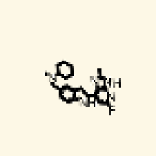 Cc1nc2c(C3Cc4cc(CN(C)C5CCCCC5)ccc4N3)cc(F)nc2[nH]1